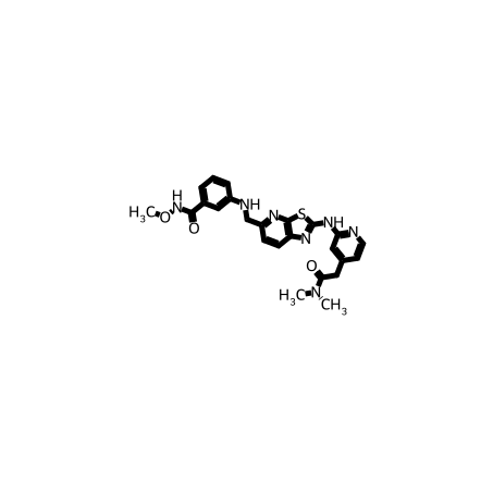 CONC(=O)c1cccc(NCc2ccc3nc(Nc4cc(CC(=O)N(C)C)ccn4)sc3n2)c1